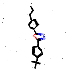 CCCc1ccc(-c2nnc(-c3ccc(C(C)(C)C)cc3)o2)cc1